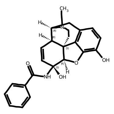 CN1CC[C@]23c4c5ccc(O)c4O[C@H]2[C@](O)(NC(=O)c2ccccc2)C=C[C@H]3[C@H]1C5